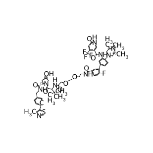 Cc1ncsc1-c1ccc(CNC(=O)[C@@H]2C[C@@H](O)CN2C(=O)C(NC(=O)COCCOCCNC(=O)c2ccc(F)c(-c3ccc(N4C[C@@H](C)N(C)[C@@H](C)C4)c(NC(=O)c4c[nH]c(=O)cc4C(F)(F)F)c3)c2)C(C)(C)C)cc1